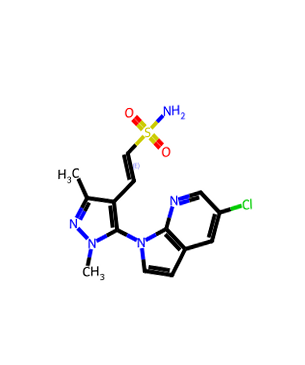 Cc1nn(C)c(-n2ccc3cc(Cl)cnc32)c1/C=C/S(N)(=O)=O